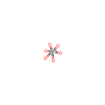 [O]=[Mg](=[O])(=[O])(=[O])(=[O])=[O]